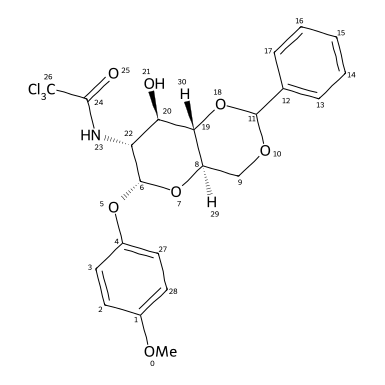 COc1ccc(O[C@H]2O[C@@H]3COC(c4ccccc4)O[C@H]3[C@H](O)[C@H]2NC(=O)C(Cl)(Cl)Cl)cc1